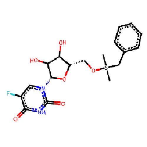 C[Si](C)(Cc1ccccc1)OC[C@@H]1O[C@H](n2cc(F)c(=O)[nH]c2=O)C(O)C1O